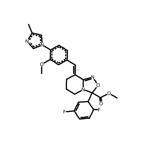 COC(=O)C1(C2C=C(F)C=CC2F)ON=C2/C(=C/c3ccc(-n4cnc(C)c4)c(OC)c3)CCCN21